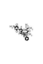 CC(C)OC(=O)[C@H](C)NP(=O)(OC[C@@]1(C(F)F)O[C@@H](n2cc(Cl)c(N)nc2=O)[C@@H](F)[C@@H]1O)Oc1ccccc1